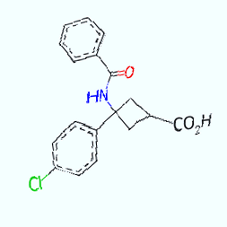 O=C(NC1(c2ccc(Cl)cc2)CC(C(=O)O)C1)c1ccccc1